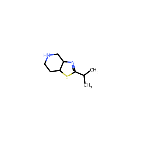 CC(C)C1=NC2CNCCC2S1